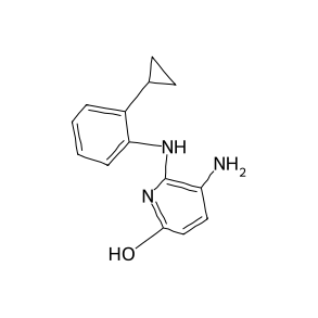 Nc1ccc(O)nc1Nc1ccccc1C1CC1